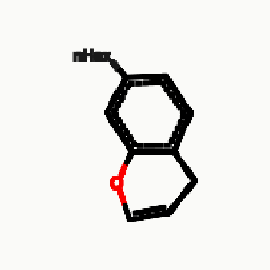 [CH2]CCCCCc1ccc2c(c1)OC=CC2